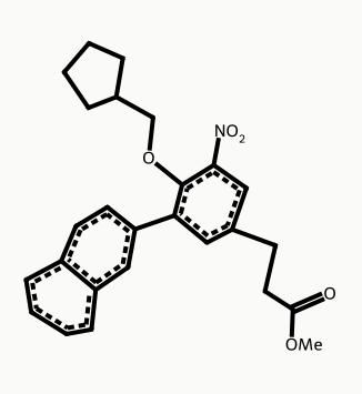 COC(=O)CCc1cc(-c2ccc3ccccc3c2)c(OCC2CCCC2)c([N+](=O)[O-])c1